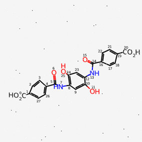 O=C(O)c1ccc(C(=O)Nc2cc(O)c(NC(=O)c3ccc(C(=O)O)cc3)cc2O)cc1